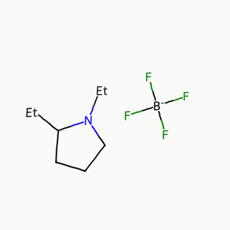 CCC1CCCN1CC.F[B-](F)(F)F